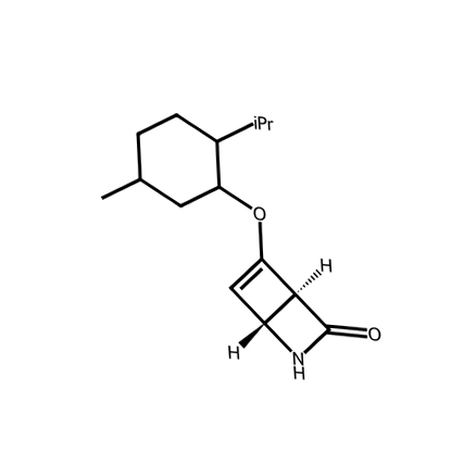 CC1CCC(C(C)C)C(OC2=C[C@H]3NC(=O)[C@H]23)C1